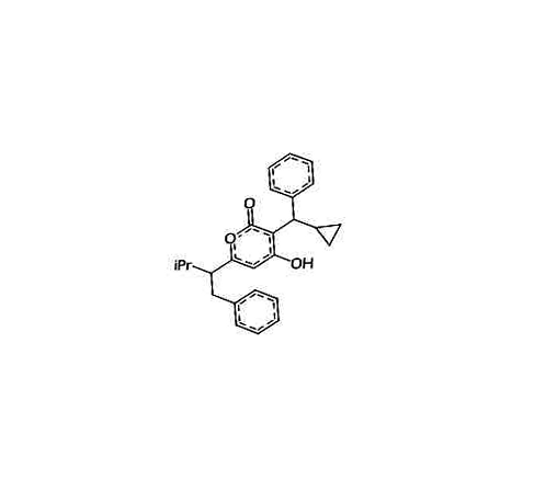 CC(C)C(Cc1ccccc1)c1cc(O)c(C(c2ccccc2)C2CC2)c(=O)o1